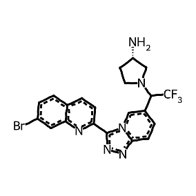 N[C@H]1CCN(C(c2ccc3nnc(-c4ccc5ccc(Br)cc5n4)n3c2)C(F)(F)F)C1